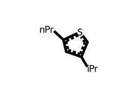 CCCc1cc(C(C)C)cs1